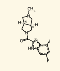 CN1C[C@@H]2CN(C(=O)c3nc4c(I)cc(F)cc4[nH]3)C[C@@H]2C1